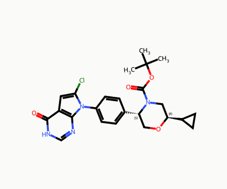 CC(C)(C)OC(=O)N1C[C@@H](C2CC2)OC[C@@H]1c1ccc(-n2c(Cl)cc3c(=O)[nH]cnc32)cc1